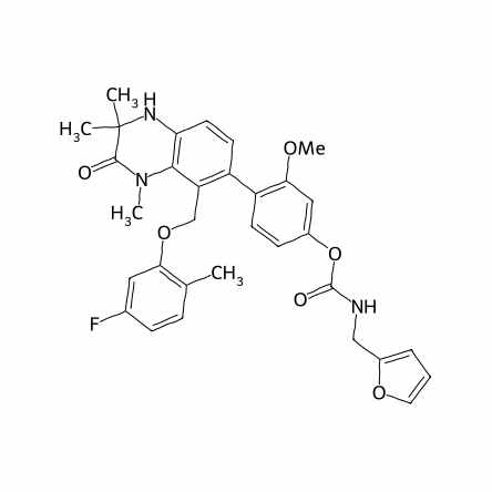 COc1cc(OC(=O)NCc2ccco2)ccc1-c1ccc2c(c1COc1cc(F)ccc1C)N(C)C(=O)C(C)(C)N2